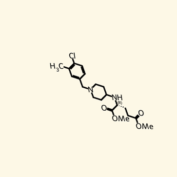 COC(=O)CC[C@@H](NC1CCN(Cc2ccc(Cl)c(C)c2)CC1)C(=O)OC